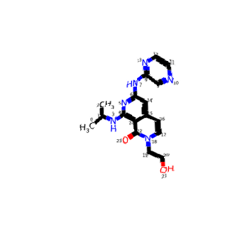 CC(C)Nc1nc(Nc2cnccn2)cc2ccn(CCO)c(=O)c12